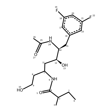 CCC(C)C(=O)NC(CCO)C[C@H](O)[C@H](Cc1cc(F)cc(F)c1)NC(C)=O